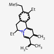 C=C(C)C1=CN2C(=CC1=C)c1cc(CC)c(CSC)cc1CC2CC